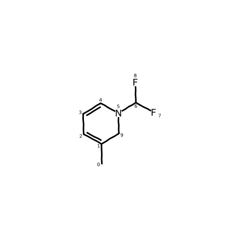 CC1=CC=CN(C(F)F)C1